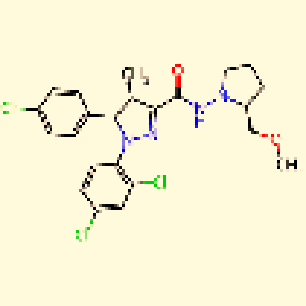 COC[C@@H]1CCCN1NC(=O)C1=NN(c2ccc(Cl)cc2Cl)[C@@H](c2ccc(Cl)cc2)[C@H]1C